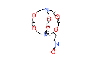 O=C=NCCC1CN2CCOCCOCCN(CCOCCOCC2)CCOCCO1